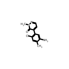 Cc1cc(Cl)c(-c2ccnn(C)c2=O)cc1N